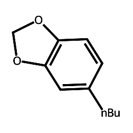 CC[CH]Cc1ccc2c(c1)OCO2